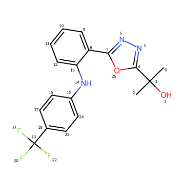 CC(C)(O)c1nnc(-c2ccccc2Nc2ccc(C(F)(F)F)cc2)o1